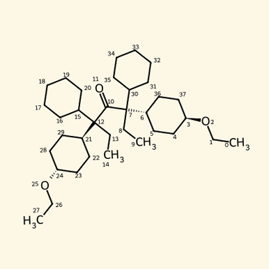 CCO[C@H]1CC[C@H](C(CC)(C(=O)C(CC)(C2CCCCC2)[C@H]2CC[C@H](OCC)CC2)C2CCCCC2)CC1